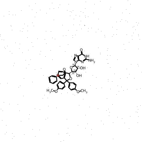 COc1ccc(C(OC(C(=O)COc2ccccc2)[C@H]2O[C@@H](n3cnc4c(=O)[nH]c(N)nc43)[C@H](O)[C@@H]2O)(c2ccccc2)c2ccc(OC)cc2)cc1